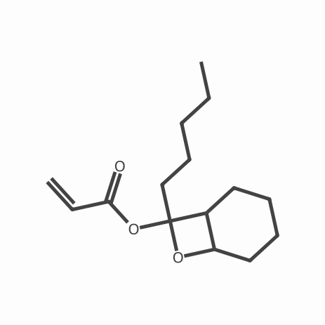 C=CC(=O)OC1(CCCCC)OC2CCCCC21